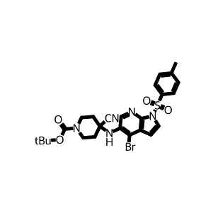 Cc1ccc(S(=O)(=O)n2ccc3c(Br)c(NC4(C#N)CCN(C(=O)OC(C)(C)C)CC4)cnc32)cc1